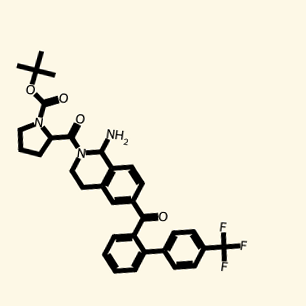 CC(C)(C)OC(=O)N1CCCC1C(=O)N1CCc2cc(C(=O)c3ccccc3-c3ccc(C(F)(F)F)cc3)ccc2C1N